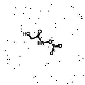 O=C(CO)NOP(=O)=O